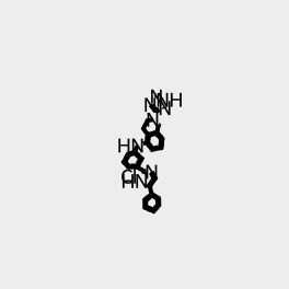 Clc1ccc(Nc2cccc3c2CCN(c2nn[nH]n2)C3)cc1-c1ncc(-c2ccccc2)[nH]1